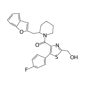 O=C(c1nc(CO)sc1-c1ccc(F)cc1)N1CCCCC1Cc1cc2ccccc2o1